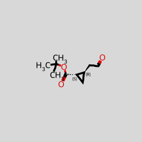 CC(C)(C)OC(=O)[C@H]1C[C@@H]1CC=O